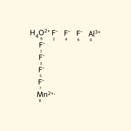 [Al+3].[F-].[F-].[F-].[F-].[F-].[F-].[F-].[Mn+2].[OH4+2]